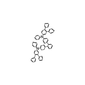 C1=C(c2ccccc2-c2ccc(N(c3ccccc3)c3ccc(-c4ccccc4)c(-c4ccccc4)c3)cc2)CCC(N(c2ccccc2)c2ccc(-c3ccccc3)c(-c3ccccc3)c2)=C1